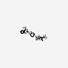 COC(=O)c1cc(S(=O)(=O)NC[C@H]2CC[C@H](CNc3nc(N(C)C)c4ccccc4n3)CC2)oc1C